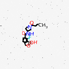 CCCC(=O)N1CCC(NC(=O)c2ccc3c(c2F)B(O)OC3)C1